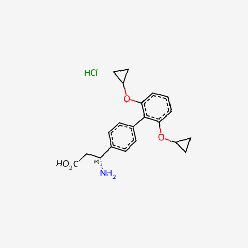 Cl.N[C@H](CC(=O)O)c1ccc(-c2c(OC3CC3)cccc2OC2CC2)cc1